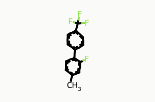 Cc1ccc(-c2ccc(C(F)(F)F)cc2)c(F)c1